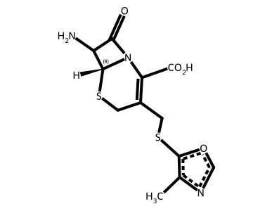 Cc1ncoc1SCC1=C(C(=O)O)N2C(=O)C(N)[C@H]2SC1